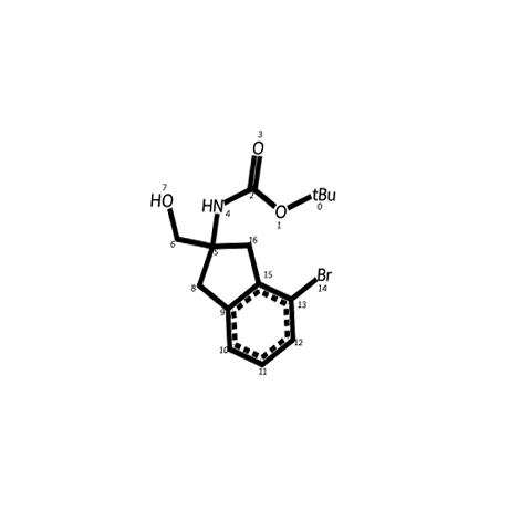 CC(C)(C)OC(=O)NC1(CO)Cc2cccc(Br)c2C1